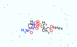 CCCCCCOC(=O)CCC(C)(C)COS(=O)(=O)ON1C(=O)N2C[C@H]1CC[C@H]2C(N)=O